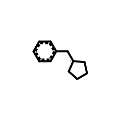 c1ccc(C[C]2CCCC2)cc1